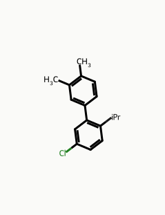 Cc1ccc(-c2cc(Cl)ccc2C(C)C)cc1C